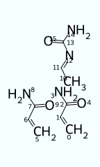 C=CC(N)=O.C=CC(N)=O.CC=NC(N)=O